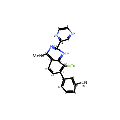 CNc1nc(-c2cnccn2)nc2c(F)c(-c3cccc(C#N)c3)ccc12